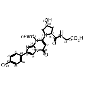 CCCCCn1c(N2C[C@@H](O)C[C@H]2C(=O)NCC(=O)O)cc(=O)n2cc(-c3ccc(Cl)cc3)nc12